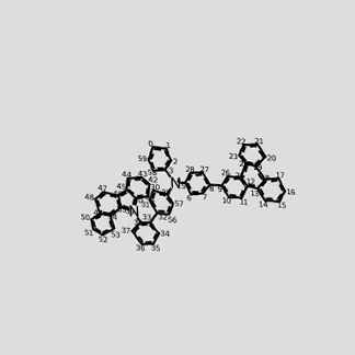 c1ccc(N(c2ccc(-c3ccc4c5ccccc5c5ccccc5c4c3)cc2)c2ccc(-c3ccccc3-n3c4ccccc4c4ccc5ccccc5c43)cc2)cc1